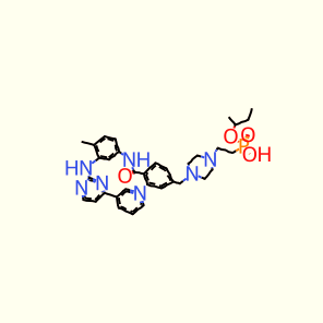 CCC(C)OP(=O)(O)CCN1CCN(Cc2ccc(C(=O)Nc3ccc(C)c(Nc4nccc(-c5cccnc5)n4)c3)cc2)CC1